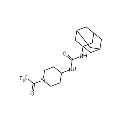 O=C(NC1CCN(C(=O)C(F)(F)F)CC1)NC12CC3CC(CC(C3)C1)C2